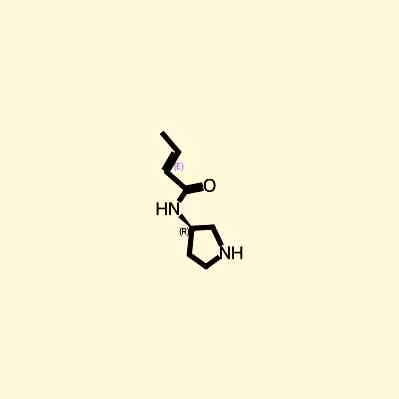 C/C=C/C(=O)N[C@@H]1CCNC1